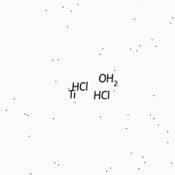 Cl.Cl.O.[Ti]